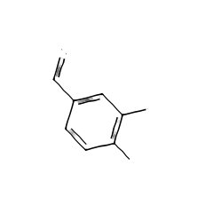 Cc1ccc(C=[N])cc1C